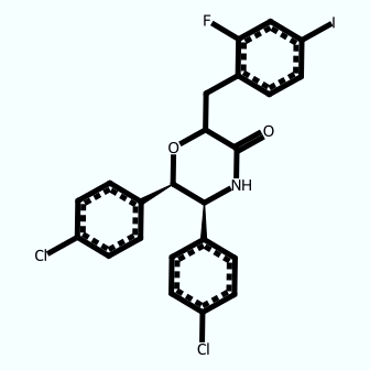 O=C1N[C@@H](c2ccc(Cl)cc2)[C@@H](c2ccc(Cl)cc2)OC1Cc1ccc(I)cc1F